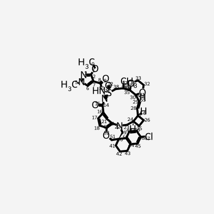 COc1nn(C)cc1C(=O)N[S@@]1(=O)=NC(=O)c2ccc3c(c2)N(C[C@@H]2CC[C@H]2/C=C/[C@@H]2OCCO[C@@H]2[C@H](C)C1)C[C@@]1(CCCc2cc(Cl)ccc21)CO3